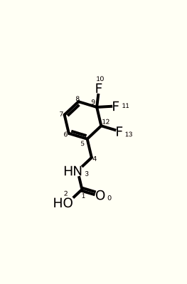 O=C(O)NCC1=CC=CC(F)(F)C1F